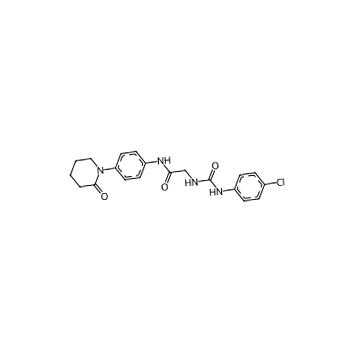 O=C(CNC(=O)Nc1ccc(Cl)cc1)Nc1ccc(N2CCCCC2=O)cc1